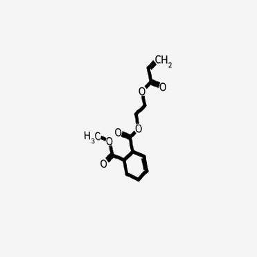 C=CC(=O)OCCOC(=O)C1C=CCCC1C(=O)OC